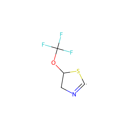 FC(F)(F)OC1CN=[C]S1